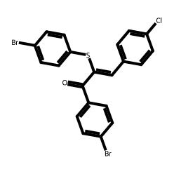 O=C(C(=Cc1ccc(Cl)cc1)Sc1ccc(Br)cc1)c1ccc(Br)cc1